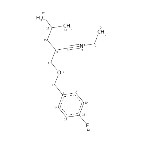 CC[N+]#CC(COCc1ccc(F)cc1)CC(C)C